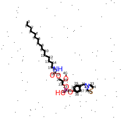 CCCCCCCCCCCCCCCCNC(=O)OCC(COP(O)Oc1ccc(CN2C=CSC2)cc1)OC